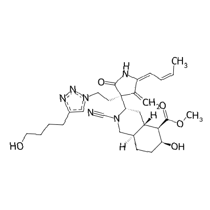 C=C1/C(=C\C=C/C)NC(=O)[C@]1(CCn1cc(CCCCO)nn1)[C@@H]1C[C@H]2[C@@H](CC[C@H](O)[C@@H]2C(=O)OC)CN1C#N